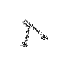 O=S(=O)(O)CCCCOCCOCCOc1cc2ccccc2cc1OCCOCCOCCCCS(=O)(=O)O